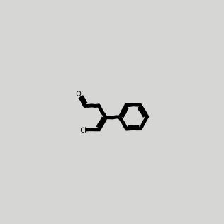 O=CCC(=CCl)c1ccccc1